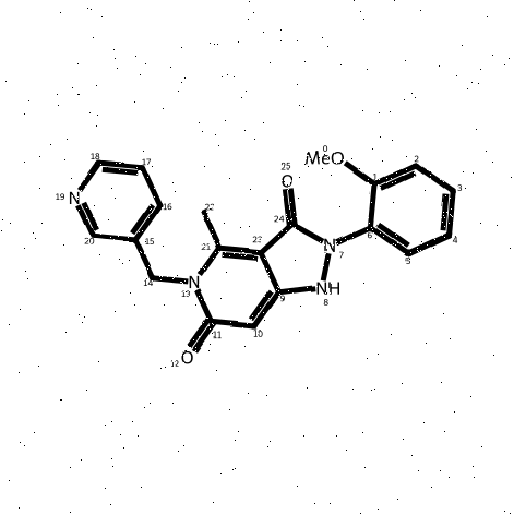 COc1ccccc1-n1[nH]c2cc(=O)n(Cc3cccnc3)c(C)c2c1=O